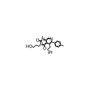 Cc1ccc(-c2ncc3c(c2CCC(C)C)c(=O)n(CCCO)c(=O)n3C)cc1